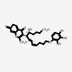 CCCc1c(OCCC/C=C\C=C\[C@@H](c2c(C(=O)O)oc3c(c2=O)=CCC(=S)C=3)[C@H](O)CCCC(=O)O)ccc(C(C)=O)c1O